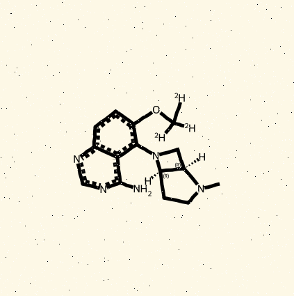 [2H]C([2H])([2H])Oc1ccc2ncnc(N)c2c1N1C[C@@H]2[C@H]1CCN2C